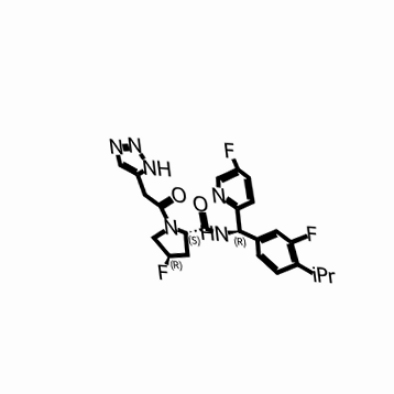 CC(C)c1ccc([C@@H](NC(=O)[C@@H]2C[C@@H](F)CN2C(=O)Cc2cnn[nH]2)c2ccc(F)cn2)cc1F